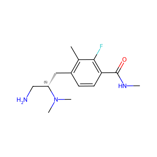 CNC(=O)c1ccc(C[C@@H](CN)N(C)C)c(C)c1F